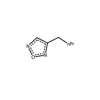 CCCCc1cnon1